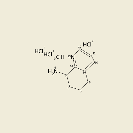 Cl.Cl.Cl.Cl.NC1CCCc2cccnc21